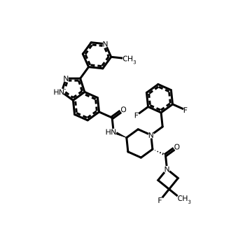 Cc1cc(-c2n[nH]c3ccc(C(=O)N[C@@H]4CC[C@@H](C(=O)N5CC(C)(F)C5)N(Cc5c(F)cccc5F)C4)cc23)ccn1